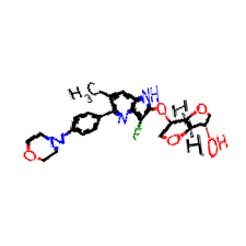 Cc1cc2[nH]c(O[C@@H]3CO[C@H]4[C@@H]3OC[C@H]4O)c(F)c2nc1-c1ccc(N2CCOCC2)cc1